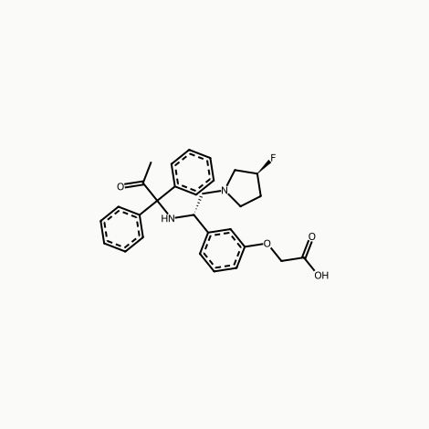 CC(=O)C(N[C@H](CN1CC[C@H](F)C1)c1cccc(OCC(=O)O)c1)(c1ccccc1)c1ccccc1